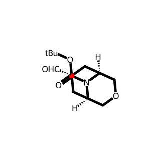 CC(C)(C)OC(=O)N1[C@@H]2COC[C@H]1C[C@H](C=O)C2